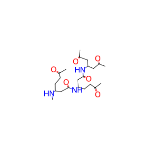 CNC(CCC(C)=O)CC(=O)NC(CCC(C)=O)CC(=O)NC(CC(C)=O)CC(C)=O